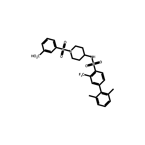 Cc1cccc(C)c1-c1ccc(S(=O)(=O)NC2CCN(S(=O)(=O)c3cccc(C(=O)O)c3)CC2)c(C(F)(F)F)c1